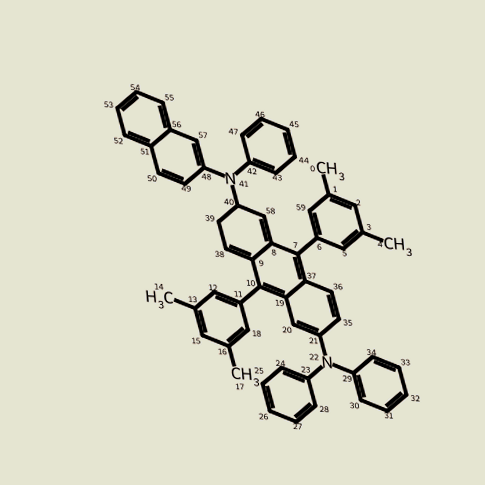 Cc1cc(C)cc(-c2c3c(c(-c4cc(C)cc(C)c4)c4cc(N(c5ccccc5)c5ccccc5)ccc24)=CCC(N(c2ccccc2)c2ccc4ccccc4c2)C=3)c1